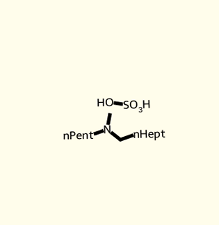 CCCCCCCCN(C)CCCCC.O=S(=O)(O)O